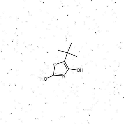 CC(C)(C)c1oc(O)nc1O